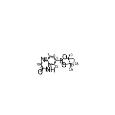 CC1(C)OB(c2ccc3ncc(=O)[nH]c3c2)OC1(C)C